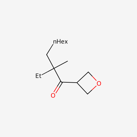 CCCCCCCC(C)(CC)C(=O)C1COC1